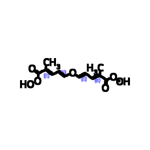 C/C(=C\C=C\O/C=C/C=C(\C)C(=O)OO)C(=O)OO